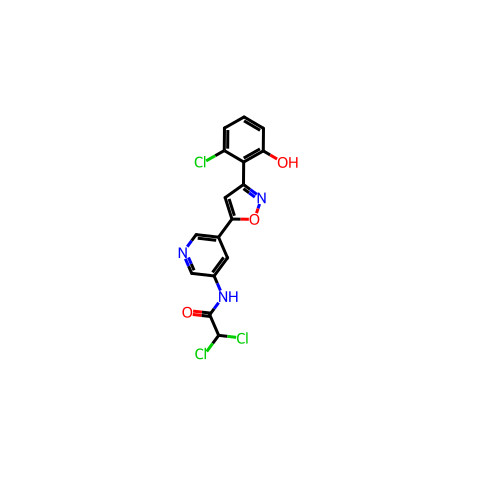 O=C(Nc1cncc(-c2cc(-c3c(O)cccc3Cl)no2)c1)C(Cl)Cl